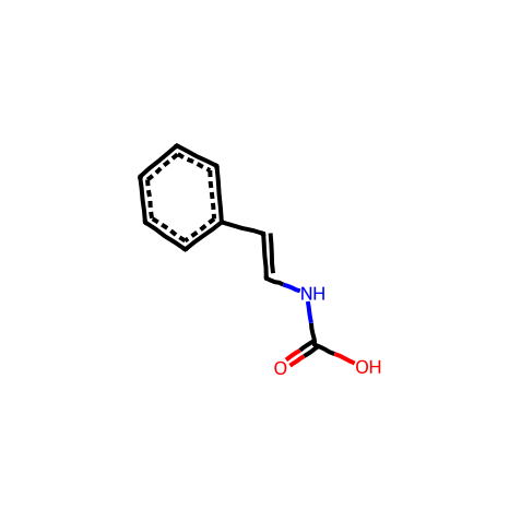 O=C(O)NC=Cc1ccccc1